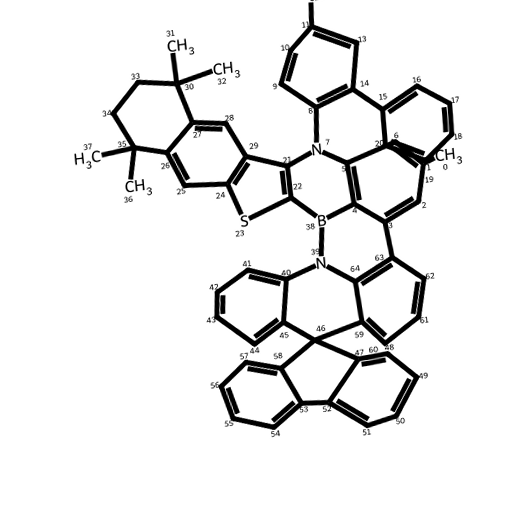 Cc1cc2c3c(c1)N(c1ccc(C(C)(C)C)cc1-c1ccccc1)c1c(sc4cc5c(cc14)C(C)(C)CCC5(C)C)B3N1c3ccccc3C3(c4ccccc4-c4ccccc43)c3cccc-2c31